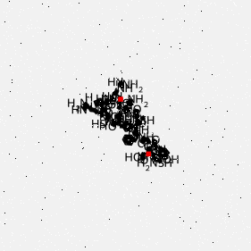 N=C(N)NCCC[C@H](NC(=O)[C@@H]1CCCN1C(=O)[C@H](CCCNC(=N)N)NC(=O)[C@H](CS)NC(=O)[C@H](Cc1ccccc1)NC(=O)[C@H](CCCCN)NC(=O)[C@H](CC(N)=O)NC(=O)[C@H](CS)NC(=O)CNC(=O)[C@H](Cc1ccccc1)NC(=O)CNC(=O)[C@H](Cc1ccc(O)cc1)NC(=O)[C@H](CC(=O)O)NC(=O)[C@@H](N)CS)C(=O)O